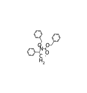 [CH2]C(c1ccccc1)N(OCc1ccccc1)C(=O)OCc1ccccc1